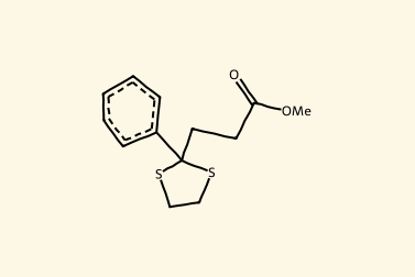 COC(=O)CCC1(c2ccccc2)SCCS1